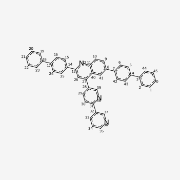 c1ccc(-c2ccc(-c3ccc4nc(-c5ccc(-c6ccccc6)cc5)cc(-c5ccc(-c6cccnc6)nc5)c4c3)cc2)cc1